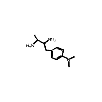 CC(N)C(N)Cc1ccc(N(C)C)cc1